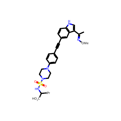 CON=C(C)c1c[nH]c2ccc(C#Cc3ccc(N4CCN(S(=O)(=O)NC(C(=O)O)C(C)C)CC4)cc3)cc12